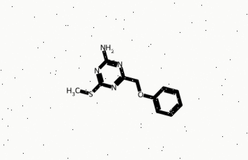 CSc1nc(N)nc(COc2ccccc2)n1